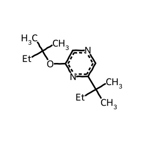 CCC(C)(C)Oc1cncc(C(C)(C)CC)n1